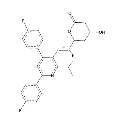 CC(C)c1nc(-c2ccc(F)cc2)cc(-c2ccc(F)cc2)c1/C=C(\F)C1CC(O)CC(=O)O1